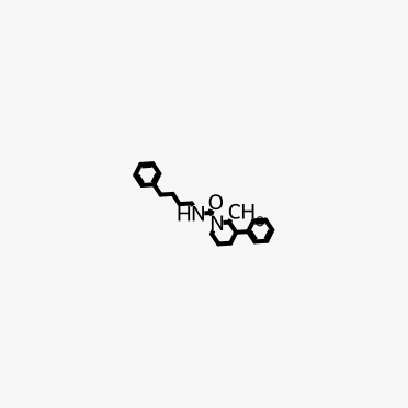 CC1C(c2ccccc2)CCCN1C(=O)NCCCCc1ccccc1